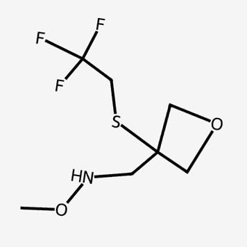 CONCC1(SCC(F)(F)F)COC1